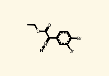 CCOC(=O)C(=[N+]=[N-])c1ccc(Br)c(Br)c1